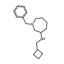 c1ccc(CN2CCCCC(NCC3CCC3)C2)cc1